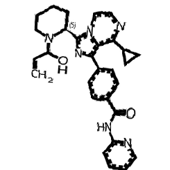 C=CC(O)N1CCCC[C@H]1c1nc(-c2ccc(C(=O)Nc3ccccn3)cc2)c2c(C3CC3)nccn12